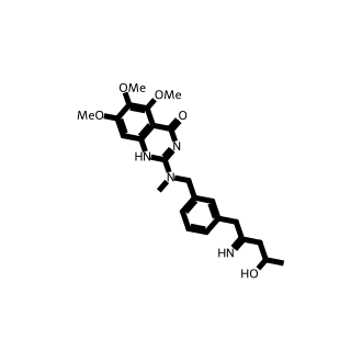 COc1cc2[nH]c(N(C)Cc3cccc(CC(=N)CC(C)O)c3)nc(=O)c2c(OC)c1OC